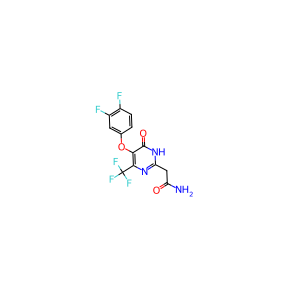 NC(=O)Cc1nc(C(F)(F)F)c(Oc2ccc(F)c(F)c2)c(=O)[nH]1